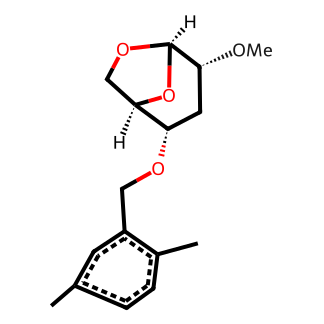 CO[C@@H]1C[C@H](OCc2cc(C)ccc2C)[C@H]2CO[C@@H]1O2